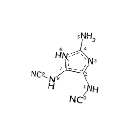 N#CNc1nc(N)[nH]c1NC#N